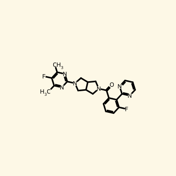 Cc1nc(N2CC3CN(C(=O)c4cccc(F)c4-c4ncccn4)CC3C2)nc(C)c1F